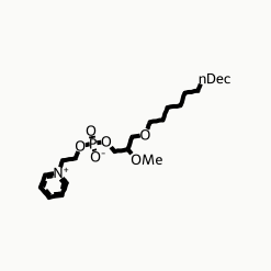 CCCCCCCCCCCCCCCCOCC(COP(=O)([O-])OCC[n+]1ccccc1)OC